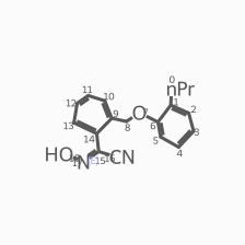 CCCc1ccccc1OCc1ccccc1/C(C#N)=N\O